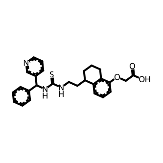 O=C(O)COc1cccc2c1CCCC2CCNC(=S)NC(c1ccccc1)c1cccnc1